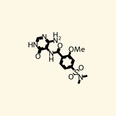 COc1cc(S(=O)(=O)N(C)C)ccc1C(=O)Nc1c(N)nc[nH]c1=O